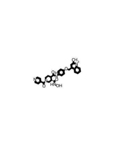 Cc1cc(COc2ccc(NC(=O)C3CCN(C(=O)c4ccncc4)C[C@@H]3C(=O)NO)cc2)c2ccccc2n1